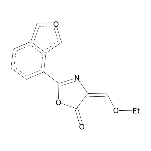 CCOC=C1N=C(c2cccc3cocc23)OC1=O